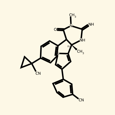 CN1C(=N)N[C@](C)(c2cc(-c3cccc(C#N)c3)cs2)C(c2ccc(C3(C#N)CC3)cc2)C1=O